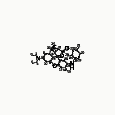 CCN(CC)c1ccc2c(c1)Oc1cc(C)c(Nc3ccc(C)cc3C)cc1[C@]21OC(=O)c2ccccc21